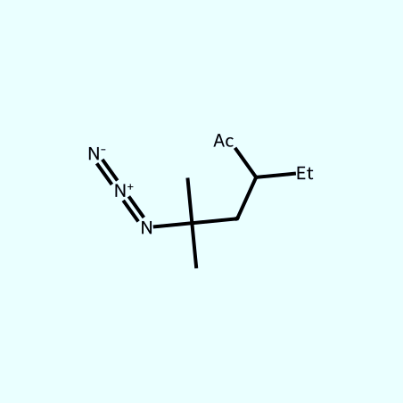 CCC(CC(C)(C)N=[N+]=[N-])C(C)=O